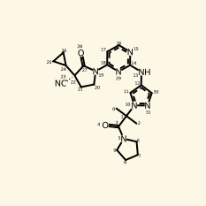 CC(C)(C(=O)N1CCCC1)n1cc(Nc2nccc(N3CC[C@@](C#N)(C4CC4)C3=O)n2)cn1